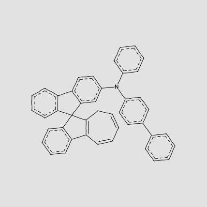 C1=CCC2=C(C=C1)c1ccccc1C21c2ccccc2-c2ccc(N(c3ccccc3)c3ccc(-c4ccccc4)cc3)cc21